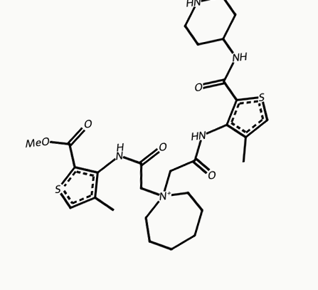 COC(=O)c1scc(C)c1NC(=O)C[N+]1(CC(=O)Nc2c(C)csc2C(=O)NC2CCNCC2)CCCCCC1